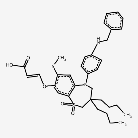 CCCCC1(CCCC)CN(c2ccc(NCc3ccccc3)cc2)c2cc(SC)c(O/C=C/C(=O)O)cc2S(=O)(=O)C1